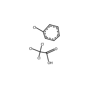 Clc1ccccc1.O=C(O)C(Cl)(Cl)Cl